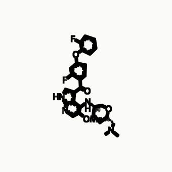 COc1cnc2[nH]cc(C(=O)c3ccc(Oc4ccccc4F)cc3F)c2c1N[C@@H]1CC[C@@H](CN(C)C)OC1